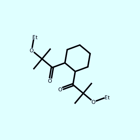 CCOC(C)(C)C(=O)C1CCCCC1C(=O)C(C)(C)OCC